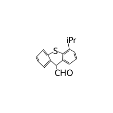 CC(C)c1cccc2c1Sc1ccccc1C2C=O